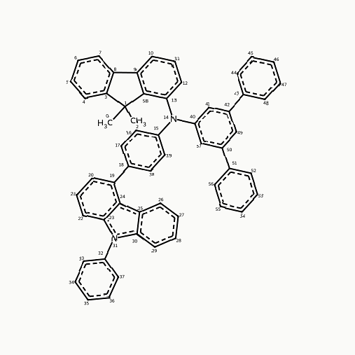 CC1(C)c2ccccc2-c2cccc(N(c3ccc(-c4cccc5c4c4ccccc4n5-c4ccccc4)cc3)c3cc(-c4ccccc4)cc(-c4ccccc4)c3)c21